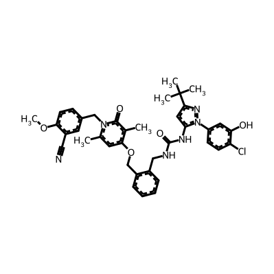 COc1ccc(Cn2c(C)cc(OCc3ccccc3CNC(=O)Nc3cc(C(C)(C)C)nn3-c3ccc(Cl)c(O)c3)c(C)c2=O)cc1C#N